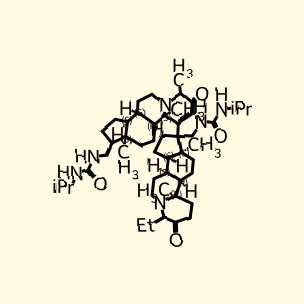 CCC1C(=O)CC[C@]2(C)[C@@H]3CC[C@@]4(C)[C@@H](CCC4(CNC(=O)NC(C)C)C4=CC(=O)C(C)N5CC[C@@H]6[C@@H](CC[C@]7(C)C(CNC(=O)NC(C)C)CC[C@@H]67)[C@@]45C)[C@@H]3CCN12